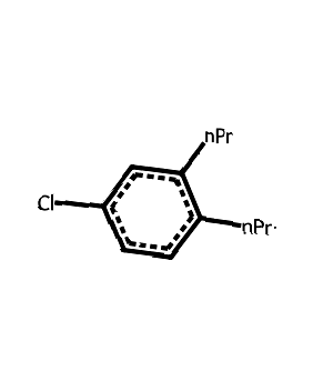 CC[CH]c1ccc(Cl)cc1CCC